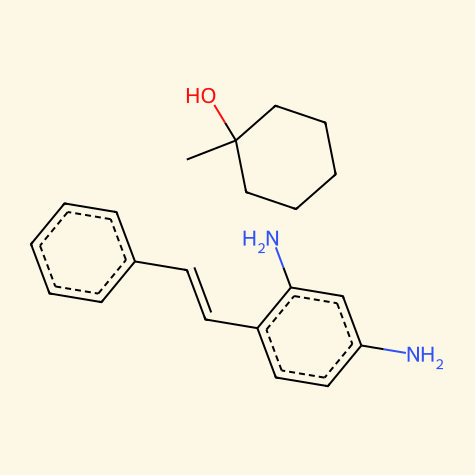 CC1(O)CCCCC1.Nc1ccc(C=Cc2ccccc2)c(N)c1